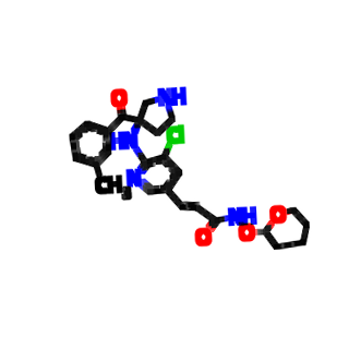 Cc1cccc(C(=O)[C@@]2(Nc3ncc(/C=C/C(=O)NOC4CCCCO4)cc3Cl)CCNC2)c1